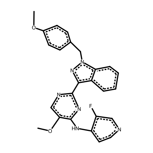 COc1ccc(Cn2nc(-c3ncc(OC)c(Nc4ccncc4F)n3)c3ccccc32)cc1